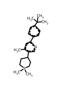 Cc1cc(-c2ccc(C(C)(C)C)cc2)ncc1C1CCS(C)(C)CC1